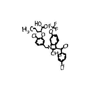 CCCC(Oc1cc(Cn2c(C)c(C(=O)c3ccc(Cl)cc3)c3ccc(OC(F)(F)F)cc32)ccc1Cl)C(=O)O